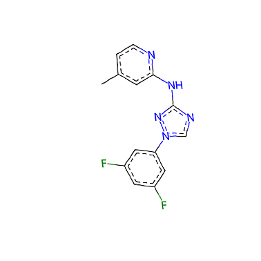 Cc1ccnc(Nc2ncn(-c3cc(F)cc(F)c3)n2)c1